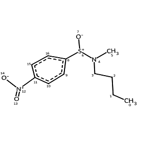 CCCCN(C)[S+]([O-])c1ccc([N+](=O)[O-])cc1